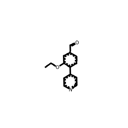 CCOc1cc(C=O)ccc1-c1ccncc1